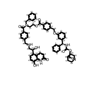 O=C(N[C@@H](c1ccccc1)c1cccc(OCc2ccc(C(=O)OCCN(Cc3ccccc3)C(=O)c3ccc(CNCC(O)c4ccc(O)c5[nH]c(=O)ccc45)cc3)cc2)c1)OC1CN2CCC1CC2